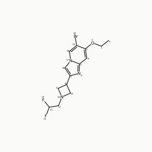 CCOc1cc2nc(C3CN(CC(F)F)C3)cn2cc1Br